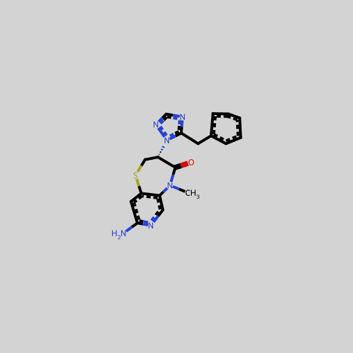 CN1C(=O)[C@@H](n2ncnc2Cc2ccccc2)CSc2cc(N)ncc21